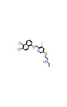 CCNCCOc1cnc(COc2cccc3c(Cl)c(Cl)ccc23)c(F)c1